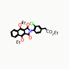 CCOC(=O)Cc1ccc(N2C(=O)c3c(c(OCC)c4ccccc4c3OCC)C2=O)c(Cl)c1